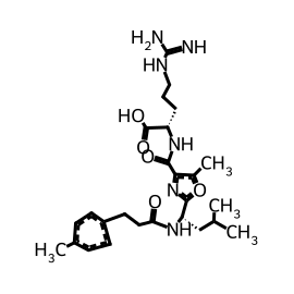 Cc1ccc(CCC(=O)N[C@@H](CC(C)C)c2nc(C(=O)N[C@@H](CCCNC(=N)N)C(=O)O)c(C)o2)cc1